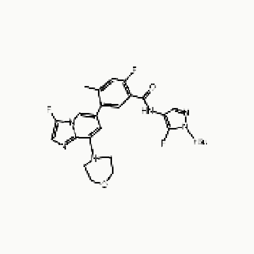 Cc1cc(F)c(C(=O)Nc2cnn(C(C)(C)C)c2F)cc1-c1cc(N2CCOCC2)c2ncc(F)n2c1